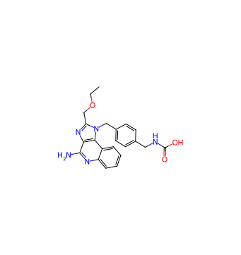 CCOCc1nc2c(N)nc3ccccc3c2n1Cc1ccc(CNC(=O)O)cc1